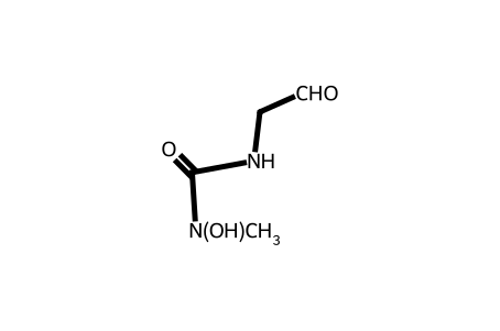 CN(O)C(=O)NCC=O